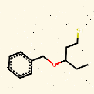 CCC(CCS)OCc1ccccc1